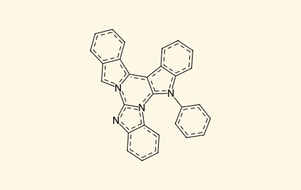 c1ccc(-n2c3ccccc3c3c4c5ccccc5cn4c4nc5ccccc5n4c32)cc1